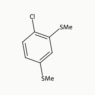 CSc1ccc(Cl)c(SC)c1